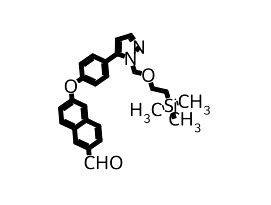 C[Si](C)(C)CCOCn1nccc1-c1ccc(Oc2ccc3cc(C=O)ccc3c2)cc1